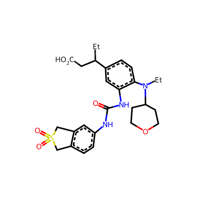 CCC(CC(=O)O)c1ccc(N(CC)C2CCOCC2)c(NC(=O)Nc2ccc3c(c2)CS(=O)(=O)C3)c1